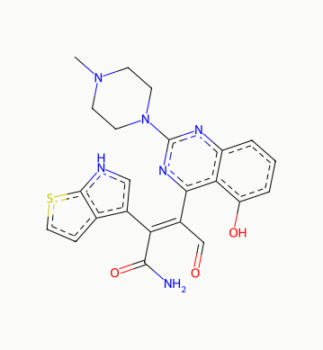 CN1CCN(c2nc(/C(C=O)=C(/C(N)=O)c3c[nH]c4sccc34)c3c(O)cccc3n2)CC1